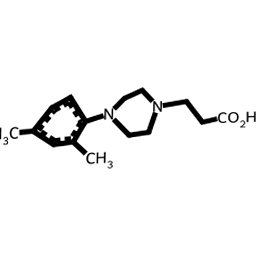 Cc1ccc(N2CCN(CCC(=O)O)CC2)c(C)c1